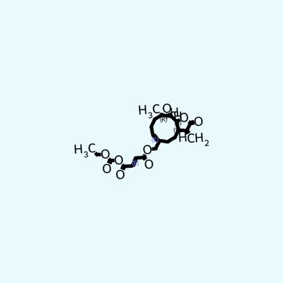 C=C1C(=O)O[C@H]2[C@H]1CC/C(COC(=O)/C=C/C(=O)OC(=O)OCC)=C\CC[C@@]1(C)O[C@@H]21